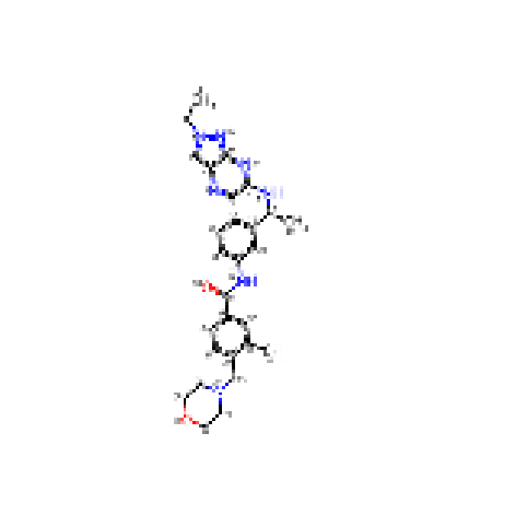 CCn1cc2ncc(N[C@@H](C)c3cccc(NC(=O)c4ccc(CN5CCOCC5)c(C)c4)c3)nc2n1